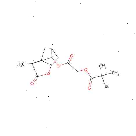 CCC(C)(C)C(=O)OCC(=O)OC1C2CC3OC(=O)C1(C)C3C2